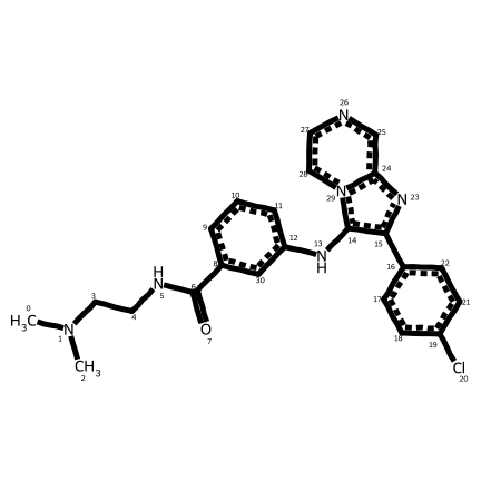 CN(C)CCNC(=O)c1cccc(Nc2c(-c3ccc(Cl)cc3)nc3cnccn23)c1